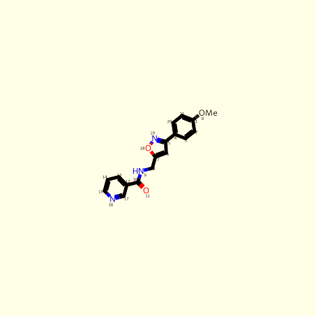 COc1ccc(-c2cc(CNC(=O)c3cccnc3)on2)cc1